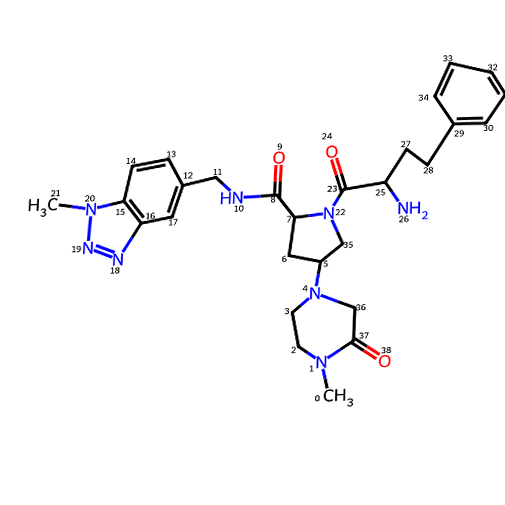 CN1CCN(C2CC(C(=O)NCc3ccc4c(c3)nnn4C)N(C(=O)C(N)CCc3ccccc3)C2)CC1=O